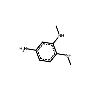 CNc1ccc(N)cc1NC